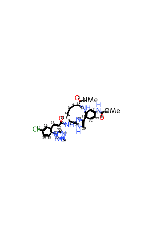 CNC(=O)[C@H]1CCCC[C@H](NC(=O)/C=C/c2cc(Cl)ccc2-n2cnnn2)c2nc(c[nH]2)-c2ccc(NC(=O)OC)cc2N1